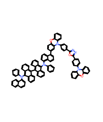 c1ccc(N(c2cccc3ccccc23)c2c3ccccc3c(-c3c4ccccc4c(N(c4ccccc4)c4cccc5c(-c6ccc7c(c6)N(c6ccc(-c8nnc(-c9ccc(N%10c%11ccccc%11Oc%11ccccc%11%10)cc9)o8)cc6)c6ccccc6O7)cccc45)c4ccccc34)c3ccccc23)cc1